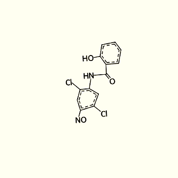 O=Nc1cc(Cl)c(NC(=O)c2ccccc2O)cc1Cl